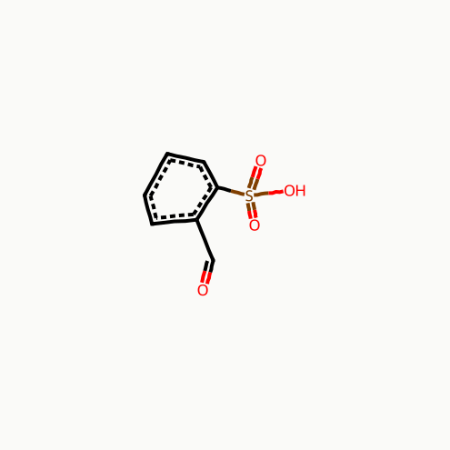 O=Cc1ccccc1S(=O)(=O)O